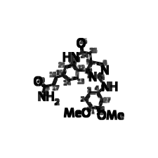 COc1ccc(Nc2ncc3c(n2)-c2ccc(/C=C/C(N)=O)cc2NC(=O)C3)cc1OC